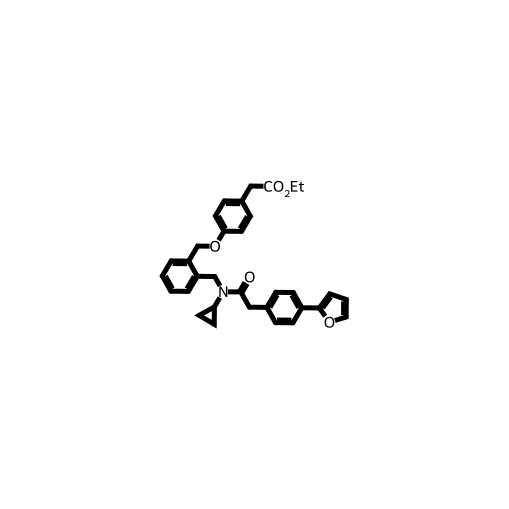 CCOC(=O)Cc1ccc(OCc2ccccc2CN(C(=O)Cc2ccc(-c3ccco3)cc2)C2CC2)cc1